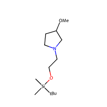 COC1CCN(CCO[Si](C)(C)C(C)(C)C)C1